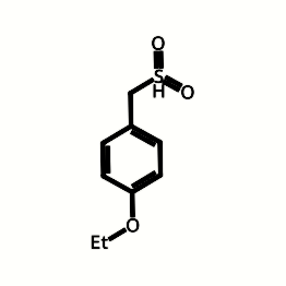 CCOc1ccc(C[SH](=O)=O)cc1